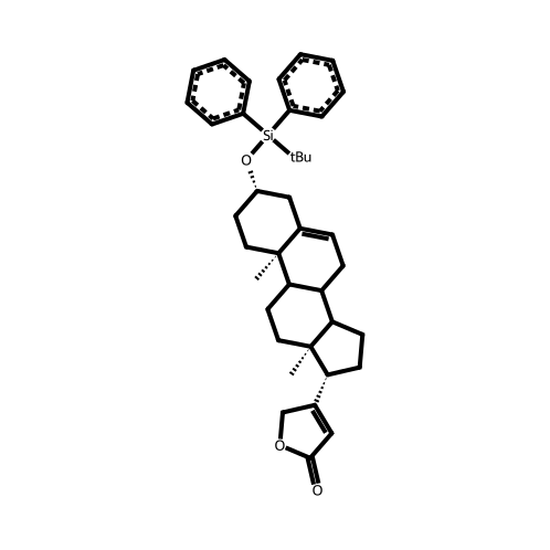 CC(C)(C)[Si](O[C@H]1CC[C@@]2(C)C(=CCC3C2CC[C@@]2(C)C3CC[C@@H]2C2=CC(=O)OC2)C1)(c1ccccc1)c1ccccc1